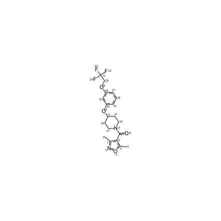 Cc1noc(C)c1C(=O)N1CCC(Oc2cccc(OCC(F)(F)F)c2)CC1